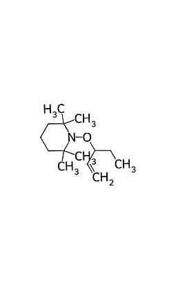 C=CC(CC)ON1C(C)(C)CCCC1(C)C